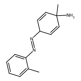 Cc1ccccc1/N=N/C1C=CC(C)(N)C=C1